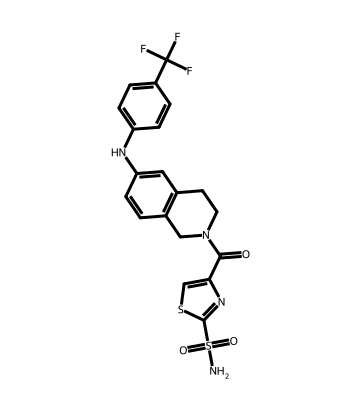 NS(=O)(=O)c1nc(C(=O)N2CCc3cc(Nc4ccc(C(F)(F)F)cc4)ccc3C2)cs1